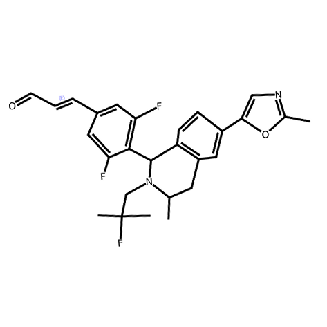 Cc1ncc(-c2ccc3c(c2)CC(C)N(CC(C)(C)F)C3c2c(F)cc(/C=C/C=O)cc2F)o1